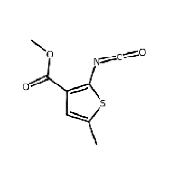 COC(=O)c1cc(C)sc1N=C=O